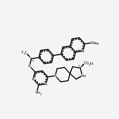 CCOC(=O)[C@@H]1CC2(CCN(c3cc(O[C@H](c4ccc(-c5ccc6nc(OC)ccc6c5)cc4)C(F)(F)F)nc(N)n3)CC2)CN1